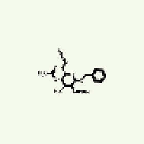 CC(=O)O[C@@H]1[C@@H](CN=[N+]=[N-])OC(OCc2ccccc2)C(N=[N+]=[N-])[C@@H]1C